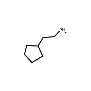 PCCC1CCCC1